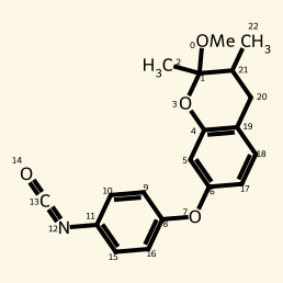 COC1(C)Oc2cc(Oc3ccc(N=C=O)cc3)ccc2CC1C